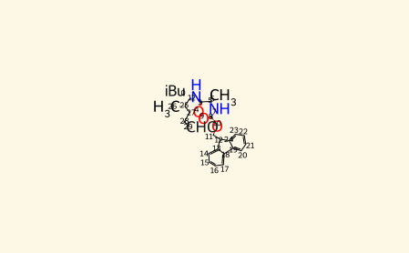 CC[C@H](C)[C@@H](NC(=O)[C@@H](C)NC(=O)OCC1c2ccccc2-c2ccccc21)[C@@H](C)CCC=O